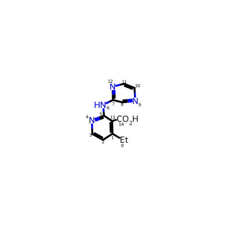 CCc1ccnc(Nc2cnccn2)c1C(=O)O